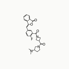 CN(C)C1CCN(C(=O)C2CN(C(=O)c3cc(C=C4OC(=O)c5ccccc54)ccc3F)C2)C1